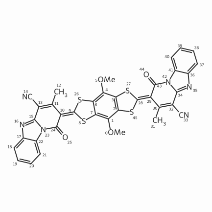 COc1c2c(c(OC)c3c1SC(=c1c(C)c(C#N)c4nc5ccccc5n4c1=O)S3)SC(=c1c(C)c(C#N)c3nc4ccccc4n3c1=O)S2